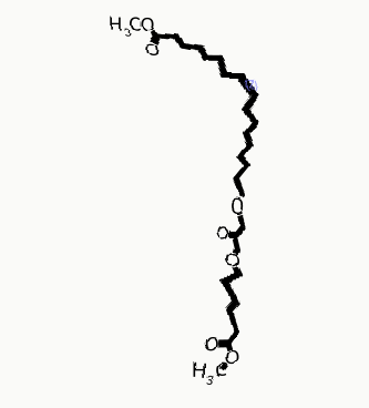 COC(=O)CCCCCC/C=C\CCCCCCCCOCC(=O)COCCCCCC(=O)OC